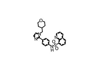 O=S(=O)(Nc1ccc(-c2nccn2CC2CCOCC2)cc1)c1cccc2cccnc12